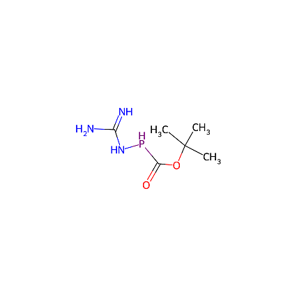 CC(C)(C)OC(=O)PNC(=N)N